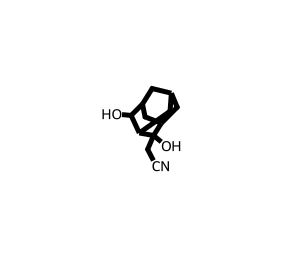 N#CCC1(O)C2CC3CC(C2)C(O)C1C3